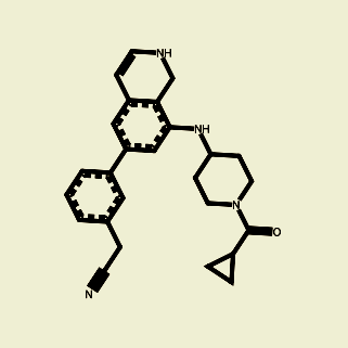 N#CCc1cccc(-c2cc3c(c(NC4CCN(C(=O)C5CC5)CC4)c2)CNC=C3)c1